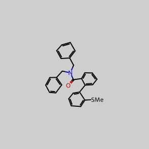 CSc1ccccc1-c1ccccc1C(=O)N(Cc1ccccc1)Cc1ccccc1